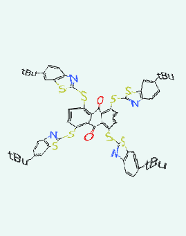 CC(C)(C)c1ccc2nc(Sc3ccc(Sc4nc5ccc(C(C)(C)C)cc5s4)c4c3C(=O)c3c(Sc5nc6ccc(C(C)(C)C)cc6s5)ccc(Sc5nc6ccc(C(C)(C)C)cc6s5)c3C4=O)sc2c1